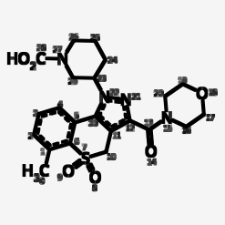 Cc1cccc2c1S(=O)(=O)Cc1c(C(=O)N3CCOCC3)nn(C3CCCN(C(=O)O)C3)c1-2